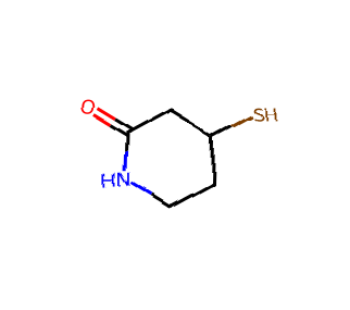 O=C1CC(S)CCN1